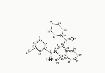 O=C(c1cn2c(-c3cccc(F)c3)ncc2c2ccccc12)N1CCCCC1